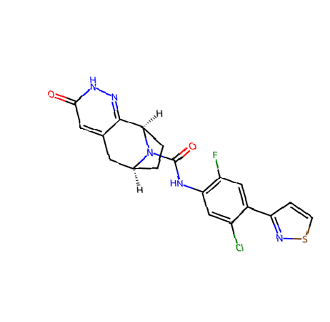 O=C(Nc1cc(Cl)c(-c2ccsn2)cc1F)N1[C@H]2CC[C@@H]1c1n[nH]c(=O)cc1C2